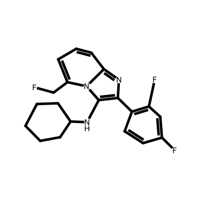 FCc1cccc2nc(-c3ccc(F)cc3F)c(NC3CCCCC3)n12